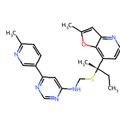 CC[C@](C)(SCNc1cc(-c2ccc(C)nc2)ncn1)c1ccnc2cc(C)oc12